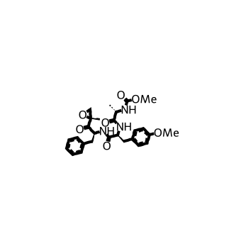 COC(=O)N[C@@H](C)C(=O)N[C@@H](Cc1ccc(OC)cc1)C(=O)N[C@@H](Cc1ccccc1)C(=O)[C@@]1(C)CO1